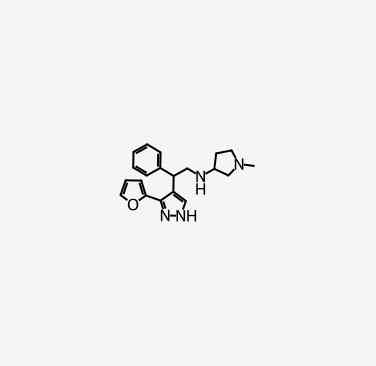 CN1CCC(NCC(c2ccccc2)c2c[nH]nc2-c2ccco2)C1